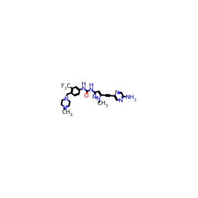 CN1CCN(Cc2ccc(NC(=O)Nc3cc(C#Cc4cnc(N)cn4)n(C)n3)cc2C(F)(F)F)CC1